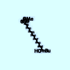 CCCCC(O)C=CCCCCCCCCCCCCS(=O)(=O)OC